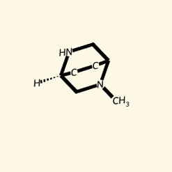 CN1C[C@@H]2CCC1CN2